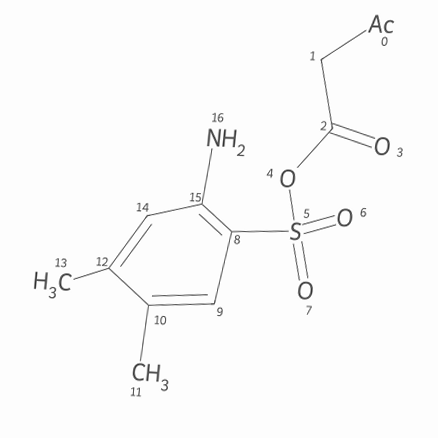 CC(=O)CC(=O)OS(=O)(=O)c1cc(C)c(C)cc1N